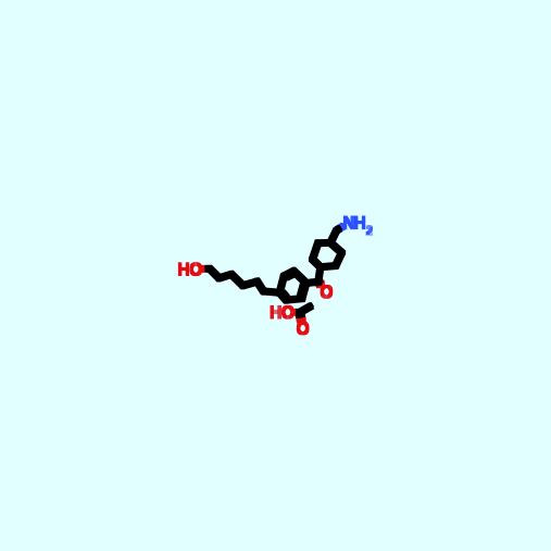 CC(=O)O.NCC1CCC(C(=O)c2ccc(CCCCCCO)cc2)CC1